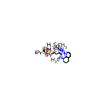 CC(C)[Si](OCCCc1c(N(C)C2CCCc3cccnc32)nnn1[Si](C)(C)C)(C(C)C)C(C)C